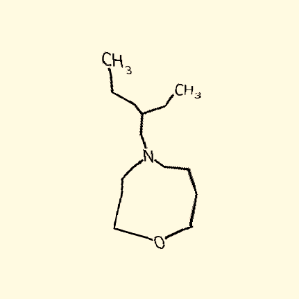 CCC(C)N1CCOCC1